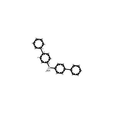 [KH].c1ccc(-c2ccc(Oc3ccc(-c4ccccc4)cc3)cc2)cc1